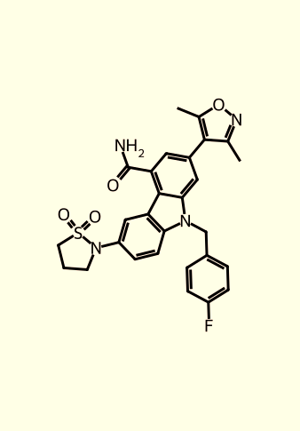 Cc1noc(C)c1-c1cc(C(N)=O)c2c3cc(N4CCCS4(=O)=O)ccc3n(Cc3ccc(F)cc3)c2c1